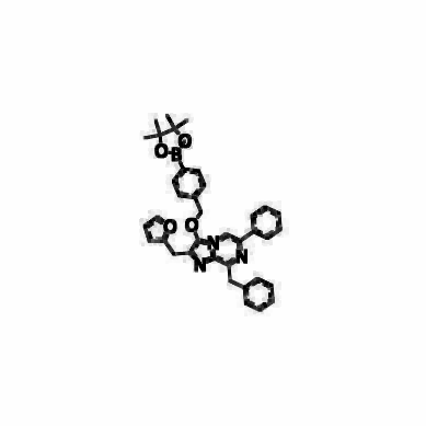 CC1(C)OB(c2ccc(COc3c(Cc4ccco4)nc4c(Cc5ccccc5)nc(-c5ccccc5)cn34)cc2)OC1(C)C